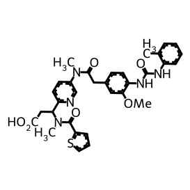 COc1cc(CC(=O)N(C)c2ccc(C(CC(=O)O)N(C)C(=O)c3cccs3)nc2)ccc1NC(=O)Nc1ccccc1C